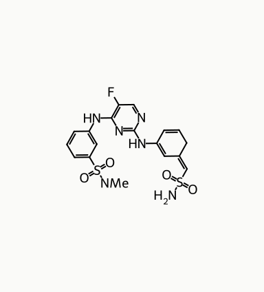 CNS(=O)(=O)c1cccc(Nc2nc(NC3=CC(=CS(N)(=O)=O)CC=C3)ncc2F)c1